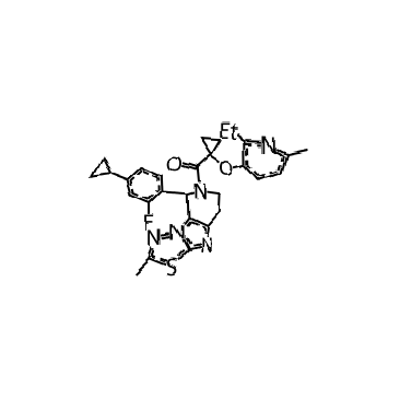 CCc1nc(C)ccc1OC1(C(=O)N2CCc3nc4sc(C)nn4c3C2c2ccc(C3CC3)cc2F)CC1